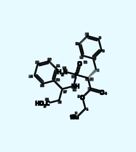 CC(C)(C)COC(=O)[C@@H](Cc1ccccc1)P(N)(=O)NC(CC(=O)O)c1ccccc1